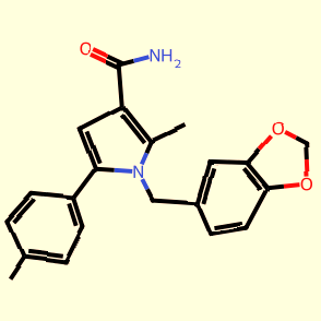 Cc1ccc(-c2cc(C(N)=O)c(C)n2Cc2ccc3c(c2)OCO3)cc1